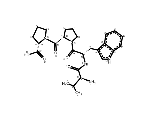 CC(C)[C@H](N)C(=O)N[C@@H](Cc1c[nH]c2ccccc12)C(=O)N1CCC[C@H]1C(=O)N1CCC[C@H]1C(=O)O